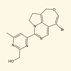 Cc1cc(C2=NC=C3C(Br)=COCC4=C3N2CC4)nc(CO)n1